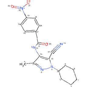 Cc1nn(C2CCCCC2)c(C#N)c1NC(=O)c1ccc([N+](=O)[O-])cc1